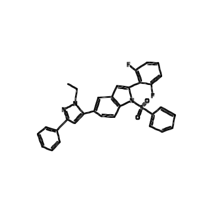 CCn1nc(-c2ccccc2)cc1-c1ccc2c(c1)cc(-c1c(F)cccc1F)n2S(=O)(=O)c1ccccc1